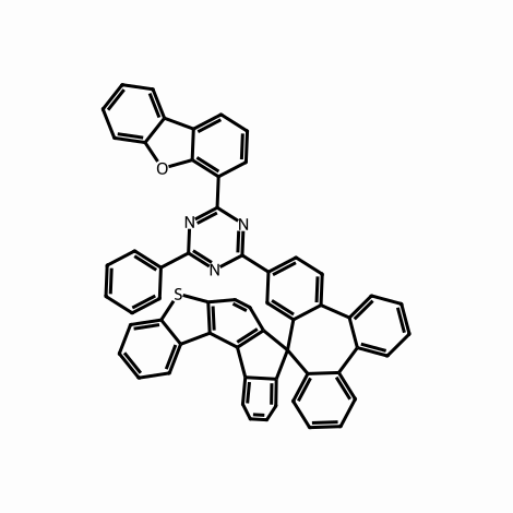 c1ccc(-c2nc(-c3ccc4c(c3)C3(c5ccccc5-c5ccccc5-4)c4ccccc4-c4c3ccc3sc5ccccc5c43)nc(-c3cccc4c3oc3ccccc34)n2)cc1